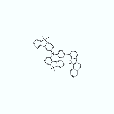 CC1(C)c2ccccc2-c2cc(N(c3ccc(-c4cccc5c4oc4c6ccccc6ccc54)cc3)c3cccc4c3-c3ccccc3C4(C)C)ccc21